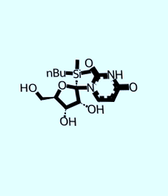 CCCC[Si](C)(C)[C@@]1(n2ccc(=O)[nH]c2=O)O[C@H](CO)[C@@H](O)[C@H]1O